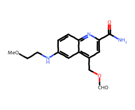 COCCNc1ccc2nc(C(N)=O)cc(COC=O)c2c1